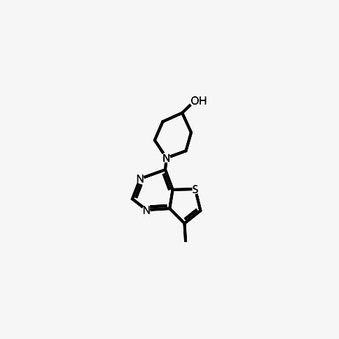 Cc1csc2c(N3CCC(O)CC3)ncnc12